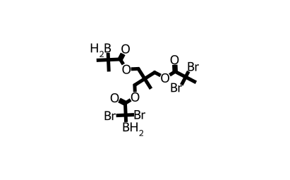 BC(C)(C)C(=O)OCC(C)(COC(=O)C(B)(Br)Br)COC(=O)C(C)(Br)Br